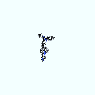 c1ccc(-c2cc(-c3ccc(-c4ccc(-c5cccc6c(-c7ccncc7)nc7ccccc7c56)cc4)cc3)nc(-c3ccccc3)n2)cc1